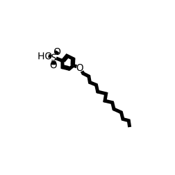 CCCCCCCCCCCCCOc1ccc(S(=O)(=O)O)cc1